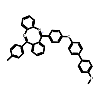 COc1ccc(-c2ccc(Oc3ccc(/C4=N/c5ccccc5/N=C(/c5ccc(C)cc5)c5ccccc54)cc3)cc2)cc1